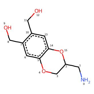 NCC1COc2cc(CO)c(CO)cc2O1